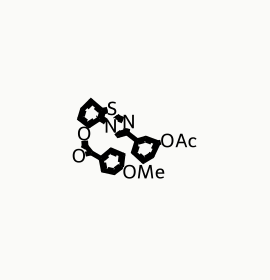 CC(=O)Oc1cccc(-c2cn3c(n2)sc2ccccc23)c1.COc1ccc(C2OC2=O)cc1